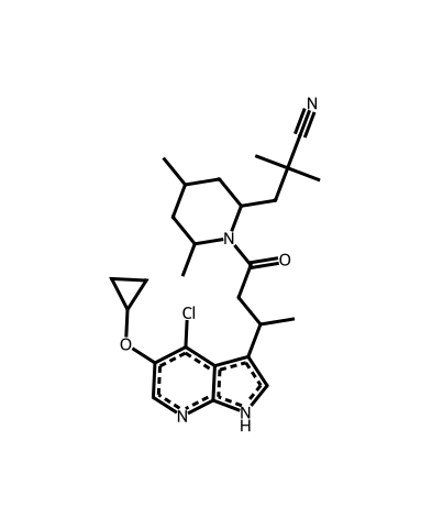 CC1CC(C)N(C(=O)CC(C)c2c[nH]c3ncc(OC4CC4)c(Cl)c23)C(CC(C)(C)C#N)C1